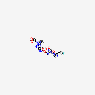 C[C@@H]1CN(CC(=O)N2CC(C)(C)c3ncc(Cc4ccc(F)cc4)cc32)[C@@H](CN(C)CCOCC(=O)Nc2ccc(Nc3ncc(C(F)(F)F)c(NCc4cccc(S(C)(=O)=O)c4)n3)cc2)CN1C(=O)OC(C)(C)C